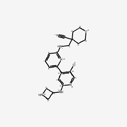 N#CC1(CNc2cccc(-c3cc(NC4CNC4)ncc3Cl)n2)CCOCC1